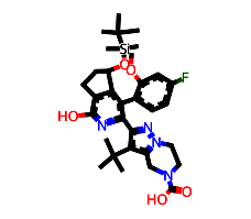 COc1cc(F)ccc1-c1c(-c2nn3c(c2C(C)(C)C)CN(C(=O)O)CC3)nc(O)c2c1C(O[Si](C)(C)C(C)(C)C)CC2